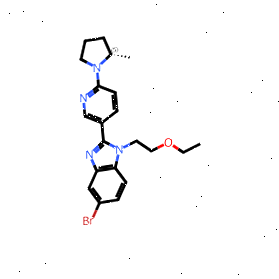 CCOCCn1c(-c2ccc(N3CCC[C@@H]3C)nc2)nc2cc(Br)ccc21